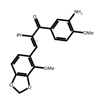 COc1ccc(C(=O)/C(=C/c2ccc3c(c2OC)OCO3)C(C)C)cc1N